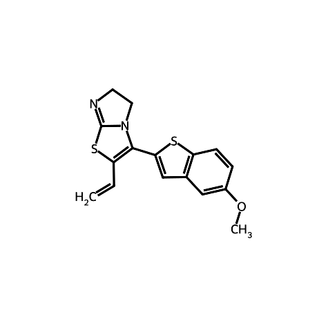 C=CC1=C(c2cc3cc(OC)ccc3s2)N2CCN=C2S1